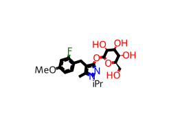 COc1ccc(Cc2c(OC3O[C@H](CO)[C@@H](O)[C@H](O)[C@H]3O)nn(C(C)C)c2C)c(F)c1